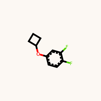 Fc1ccc(OC2CCC2)cc1F